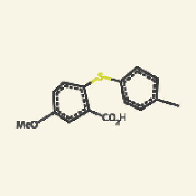 COc1ccc(Sc2ccc(C)cc2)c(C(=O)O)c1